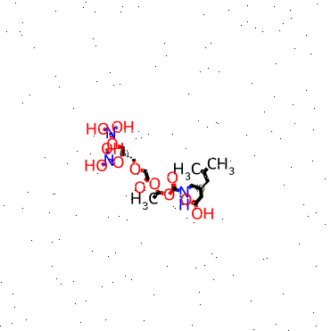 CC(C)C[C@H](CNC(=O)OC(C)OC(=O)COC[C@@H](CON(O)O)ON(O)O)CC(=O)O